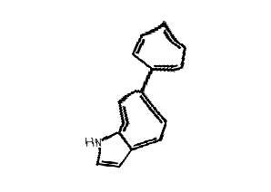 c1ccc(-c2ccc3cc[nH]c3c2)cc1